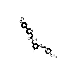 CCOc1ccc(-c2ccc(CC(=O)NCc3cc(F)cc(OCCN4CCN(C)CC4)c3)nc2)cc1